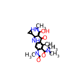 CN/C(O)=C(\C(=N)C1CC1)C(=O)c1ccc(N(C)C=O)c(C(=O)N(C)C)c1C